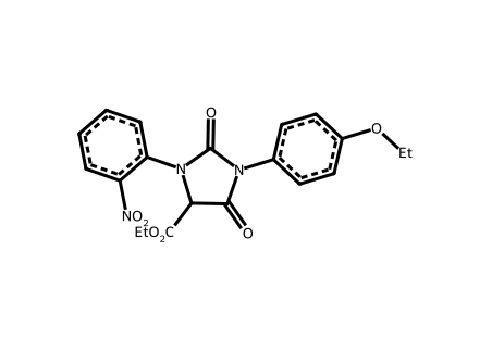 CCOC(=O)C1C(=O)N(c2ccc(OCC)cc2)C(=O)N1c1ccccc1[N+](=O)[O-]